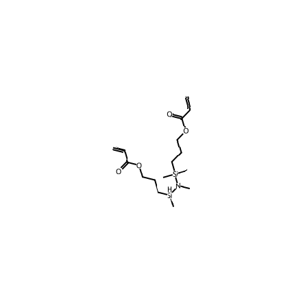 C=CC(=O)OCCC[SiH](C)N(C)[Si](C)(C)CCCOC(=O)C=C